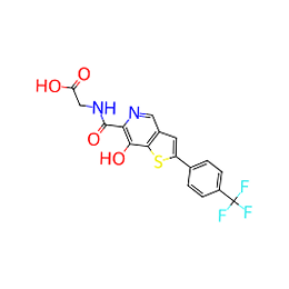 O=C(O)CNC(=O)c1ncc2cc(-c3ccc(C(F)(F)F)cc3)sc2c1O